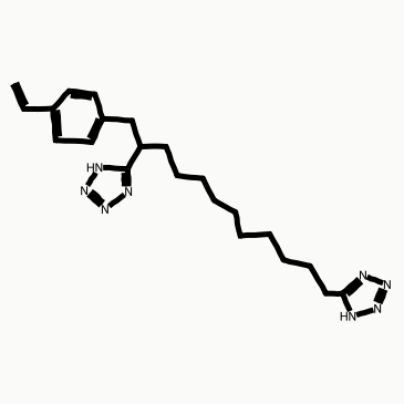 C=Cc1ccc(CC(CCCCCCCCCCc2nnn[nH]2)c2nnn[nH]2)cc1